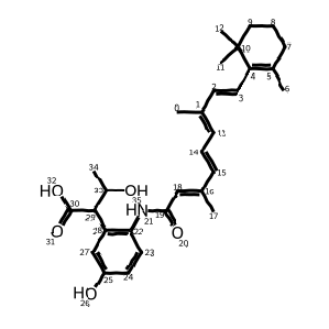 CC(C=CC1=C(C)CCCC1(C)C)=CC=CC(C)=CC(=O)Nc1ccc(O)cc1C(C(=O)O)C(C)O